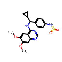 COc1cc2ncnc(NC(c3ccc(N[SH](=O)=O)cc3)C3CC3)c2cc1OC